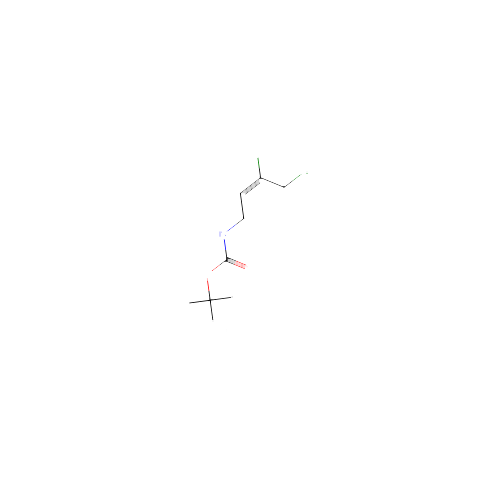 CC(C)(C)OC(=O)NC/C=C(/F)CBr